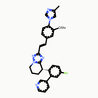 COc1cc(/C=C/c2nc3n(n2)CCC[C@H]3c2ccc(F)cc2-c2cccnc2)ccc1-n1cnc(C)c1